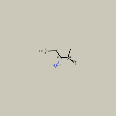 CC[C@H](C)[C@H](N)CC(=O)O